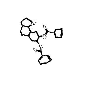 O=C(OC1CC2CCC3CCNC3C2CC1OC(=O)c1ccccc1)c1ccccc1